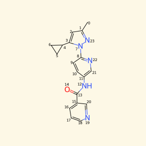 Cc1cc(C2CC2)n(-c2ccc(NC(=O)c3cccnc3)cn2)n1